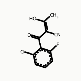 CC(O)=C(C#N)C(=O)c1c(F)cccc1Cl